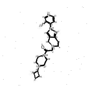 O=C(CN1CCc2nn(-c3ccncc3F)cc2C1)N1CCN(C2CCC2)CC1